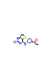 C=CC(=O)N1CC[C@@H](N(C)c2nc(Cl)nc3ccsc23)C1